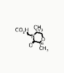 C[C@@H]1CO[C@H](C)C(=O)N1CC(=O)O